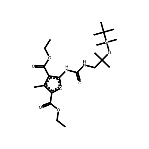 CCOC(=O)c1sc(NC(=O)NCC(C)(C)O[Si](C)(C)C(C)(C)C)c(C(=O)OCC)c1C